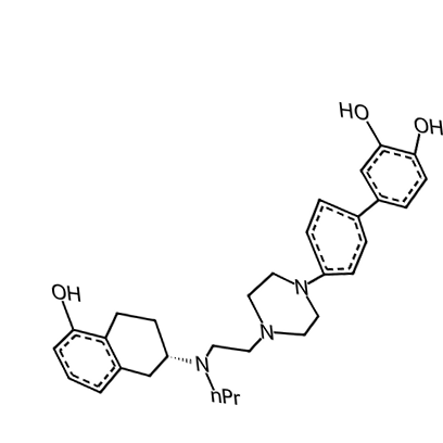 CCCN(CCN1CCN(c2ccc(-c3ccc(O)c(O)c3)cc2)CC1)[C@H]1CCc2c(O)cccc2C1